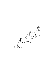 [CH2]C(C)CC(C)CC(C)CC(C)CC(C)C[CH]C